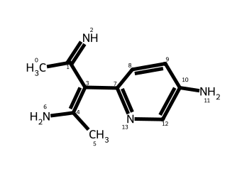 CC(=N)/C(=C(/C)N)c1ccc(N)cn1